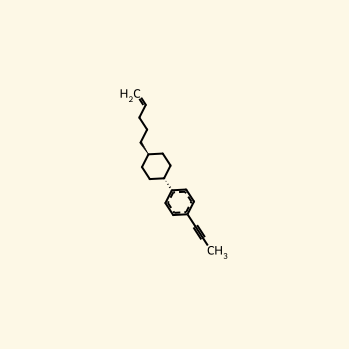 C=CCCC[C@H]1CC[C@H](c2ccc(C#CC)cc2)CC1